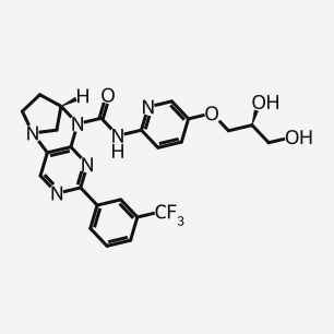 O=C(Nc1ccc(OC[C@@H](O)CO)cn1)N1c2nc(-c3cccc(C(F)(F)F)c3)ncc2N2CC[C@H]1C2